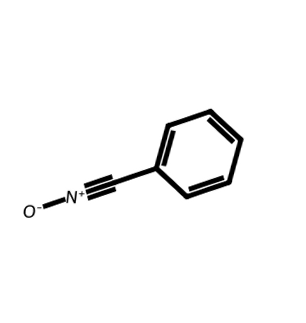 [O-][N+]#Cc1ccccc1